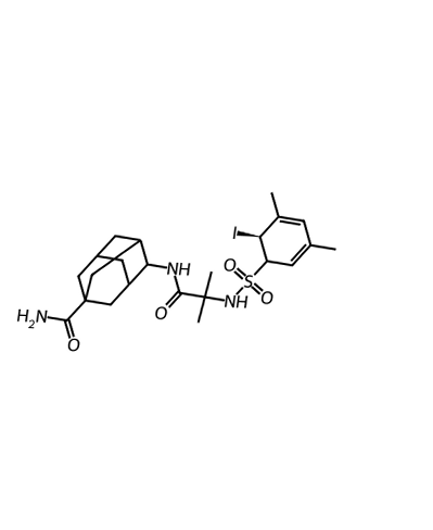 CC1=CC(S(=O)(=O)NC(C)(C)C(=O)NC2C3CC4CC2CC(C(N)=O)(C4)C3)[C@@H](I)C(C)=C1